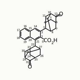 O=C(O)c1c(C2C3CC4CC2CC(C3)C4=O)cc2ccccc2c1C1C2CC3CC1CC(C2)C3=O